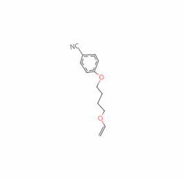 C=COCCCCOc1ccc(C#N)cc1